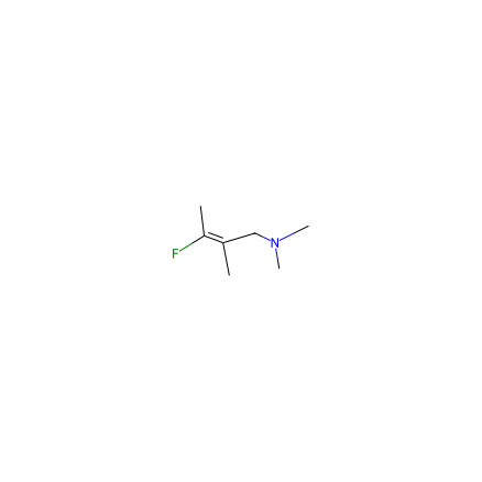 C/C(F)=C(/C)CN(C)C